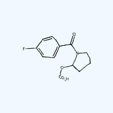 O=C(O)OC1CCCN1C(=O)c1ccc(F)cc1